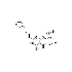 CCNC(=O)C(=O)[C@H](CC(C)C)NC(=O)[C@@H](NC(=O)CCCCC1CCSS1)C(C)C